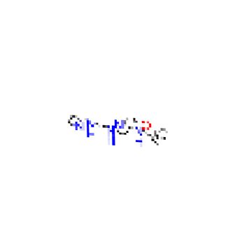 O=C(CC12CC3CC(CC(C3)C1)C2)Nc1cccc2nc(NCCCNCc3ccccn3)ccc12